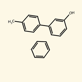 Cc1ccc(-c2cccc(O)c2)cc1.[c]1ccccc1